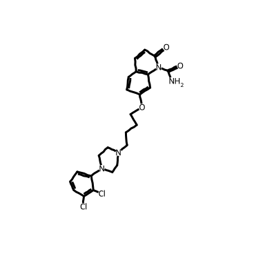 NC(=O)n1c(=O)ccc2ccc(OCCCCN3CCN(c4cccc(Cl)c4Cl)CC3)cc21